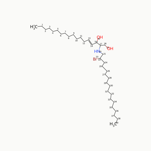 CCCCCCCCCCCCCC=CC(O)C(CO)NCC(Br)CCCCCCCCCCCCCCCC